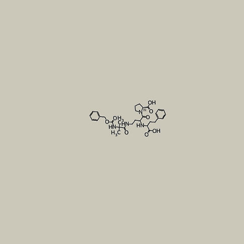 CC(C)(NC(=O)OCc1ccccc1)C(=O)NCCC(NC(CCc1ccccc1)C(=O)O)C(=O)N1CCC[C@H]1C(=O)O